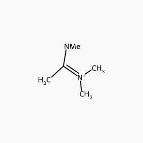 CNC(C)=[N+](C)C